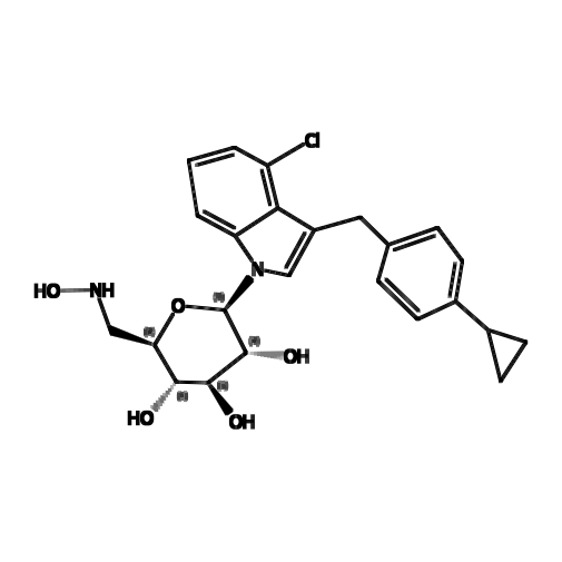 ONC[C@H]1O[C@@H](n2cc(Cc3ccc(C4CC4)cc3)c3c(Cl)cccc32)[C@H](O)[C@@H](O)[C@@H]1O